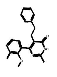 COc1c(C)cccc1-c1nc(C)[nH]c(=O)c1CCc1ccccc1